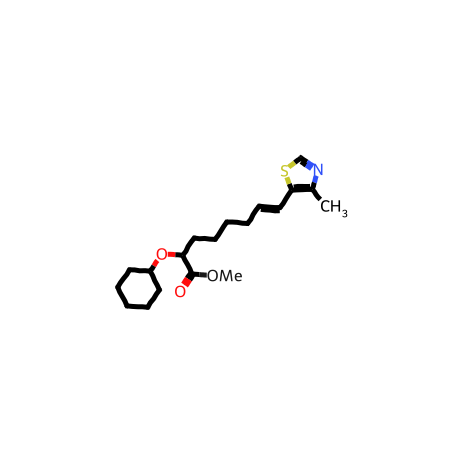 COC(=O)C(CCCCC=Cc1scnc1C)OC1CCCCC1